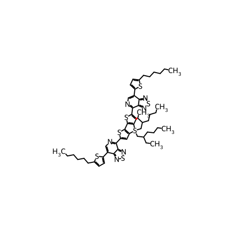 CCCCCCc1ccc(-c2cnc(-c3cc4c(s3)-c3sc(-c5ncc(-c6ccc(CCCCCC)s6)c6nsnc56)cc3S4(CC(CC)CCCC)CC(CC)CCCC)c3nsnc23)s1